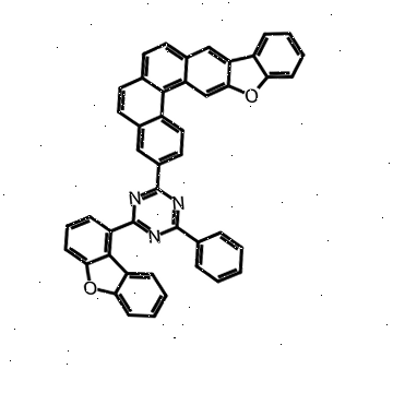 c1ccc(-c2nc(-c3ccc4c(ccc5ccc6cc7c(cc6c54)oc4ccccc47)c3)nc(-c3cccc4oc5ccccc5c34)n2)cc1